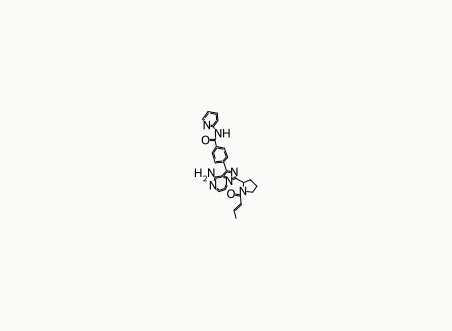 CC=CC(=O)N1CCCC1c1nc(-c2ccc(C(=O)Nc3ccccn3)cc2)c2c(N)nccn12